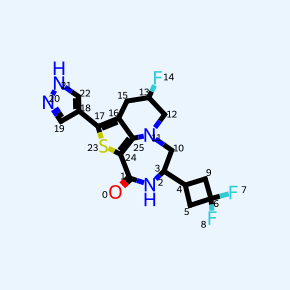 O=C1NC(C2CC(F)(F)C2)CN2CC(F)Cc3c(-c4cn[nH]c4)sc1c32